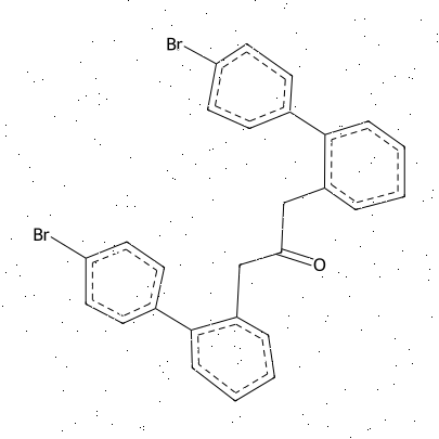 O=C(Cc1ccccc1-c1ccc(Br)cc1)Cc1ccccc1-c1ccc(Br)cc1